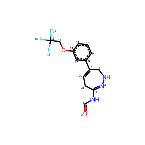 O=CNC1=NNCC(c2cccc(OCC(F)(F)F)c2)=CC1